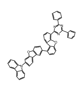 c1ccc(-c2nc(-c3ccccc3)nc(-c3cccc4c3oc3cccc(-c5ccc6oc7cc(-n8c9ccccc9c9ccccc98)ccc7c6c5)c34)n2)cc1